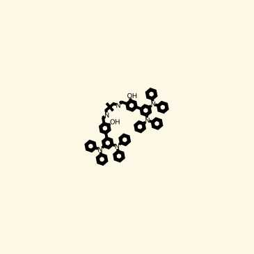 CC(C)(C/N=C/c1ccc(-c2cc(N(c3ccccc3)c3ccccc3)cc(N(c3ccccc3)c3ccccc3)c2)cc1O)C/N=C/c1ccc(-c2cc(N(c3ccccc3)c3ccccc3)cc(N(c3ccccc3)c3ccccc3)c2)cc1O